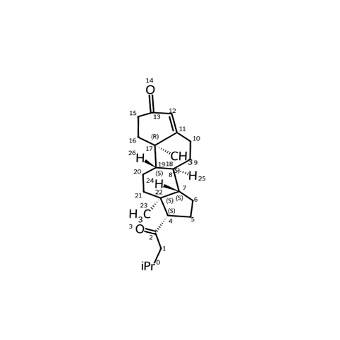 CC(C)CC(=O)[C@H]1CC[C@H]2[C@@H]3CCC4=CC(=O)CC[C@]4(C)[C@H]3CC[C@]12C